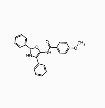 COc1ccc(C(=O)NC2=C(c3ccccc3)NC(c3ccccc3)O2)cc1